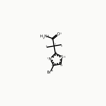 CC(C)(C(N)=O)c1nc(Br)cs1